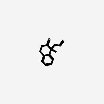 C=CCC1(C)C(=O)CCc2ccccc21